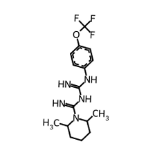 CC1CCCC(C)N1C(=N)NC(=N)Nc1ccc(OC(F)(F)F)cc1